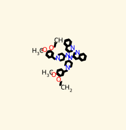 C#CCOc1cc(CN2CCC(N(c3cnc4ccccc4c3)N(c3cnc4ccccc4c3)C3CCN(Cc4ccc(OC)c(OCC=C)c4)CC3)CC2)ccc1OC